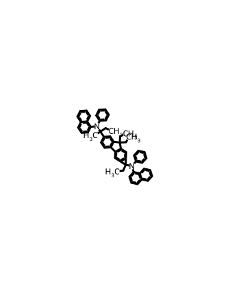 CCC1(CC)c2cc(C(C)(CC)N(c3ccccc3)c3cccc4ccccc34)ccc2-c2cc3c(cc21)C3(CC)N(c1ccccc1)c1cccc2ccccc12